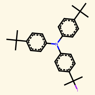 CC(C)(C)c1ccc(N(c2ccc(C(C)(C)C)cc2)c2ccc(C(C)(C)I)cc2)cc1